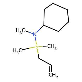 C=CCS(C)(C)N(C)C1CCCCC1